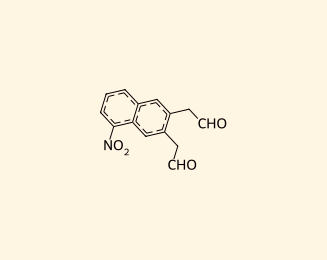 O=CCc1cc2cccc([N+](=O)[O-])c2cc1CC=O